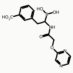 O=C(COc1cnccn1)NC(Cc1cccc(C(=O)O)c1)B(O)O